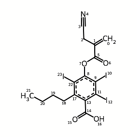 C=C(CC#N)C(=O)Oc1c(I)c(I)c(C(=O)O)c(CCCC)c1I